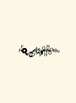 CC(=O)N(C[C@@H]1CN(Cc2ccc(F)c(F)c2)CCO1)Sc1nc(C(=O)NNC(=O)OC(C)(C)C)cs1